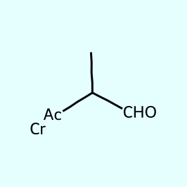 CC(=O)C(C)C=O.[Cr]